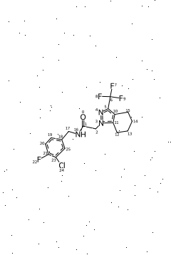 O=C(Cn1nc(C(F)(F)F)c2c1CCCC2)NCc1ccc(F)c(Cl)c1